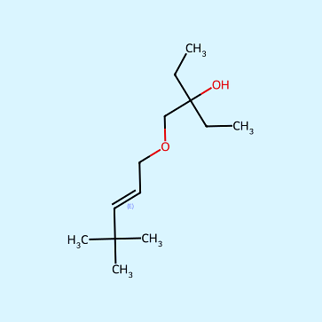 CCC(O)(CC)COC/C=C/C(C)(C)C